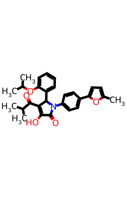 Cc1ccc(-c2ccc(N3C(=O)C(O)=C(C(=O)C(C)C)C3c3ccccc3OC(C)C)cc2)o1